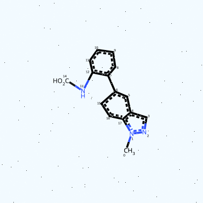 Cn1ncc2cc(-c3ccccc3NC(=O)O)ccc21